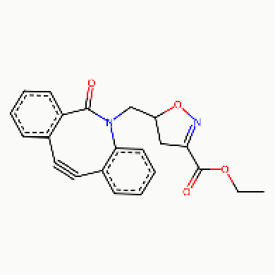 CCOC(=O)C1=NOC(CN2C(=O)c3ccccc3C#Cc3ccccc32)C1